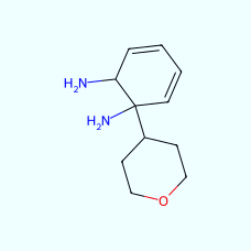 NC1C=CC=CC1(N)C1CCOCC1